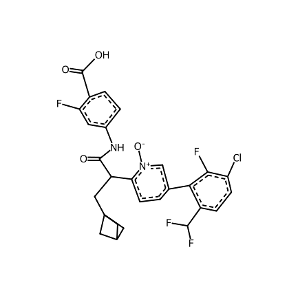 O=C(O)c1ccc(NC(=O)C(CC23CC(C2)C3)c2ccc(-c3c(C(F)F)ccc(Cl)c3F)c[n+]2[O-])cc1F